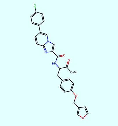 COC(=O)C(Cc1ccc(OCc2ccoc2)cc1)NC(=O)c1cn2cc(-c3ccc(Cl)cc3)ccc2n1